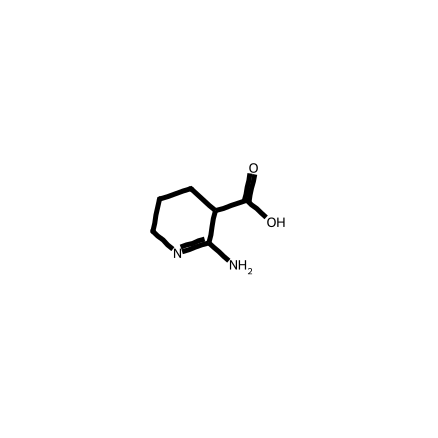 NC1=NCCCC1C(=O)O